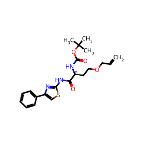 C=CCOCC[C@H](NC(=O)OC(C)(C)C)C(=O)Nc1nc(-c2ccccc2)cs1